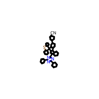 N#Cc1ccc(-c2ccc3c(c2)C2(c4ccccc4Sc4ccccc42)c2cc(-c4nc(-c5ccccc5)nc(-c5ccccc5)n4)c4ccccc4c2-3)cc1